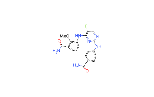 COc1c(Nc2nc(Nc3ccc(C(N)=O)cc3)ncc2F)cccc1C(N)=O